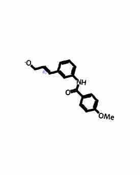 COc1ccc(C(=O)Nc2cccc(/C=C/C[O])c2)cc1